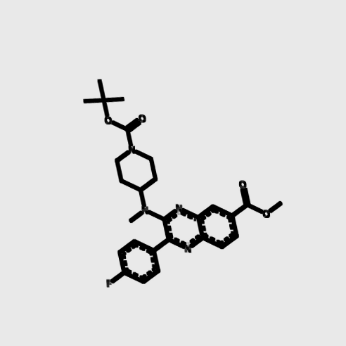 COC(=O)c1ccc2nc(-c3ccc(F)cc3)c(N(C)C3CCN(C(=O)OC(C)(C)C)CC3)nc2c1